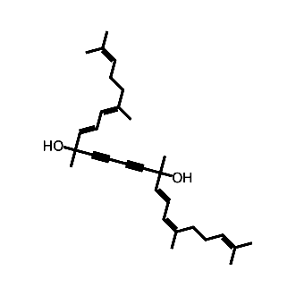 CC(C)=CCCC(C)=CC=CC(C)(O)C#CC#CC(C)(O)C=CC=C(C)CCC=C(C)C